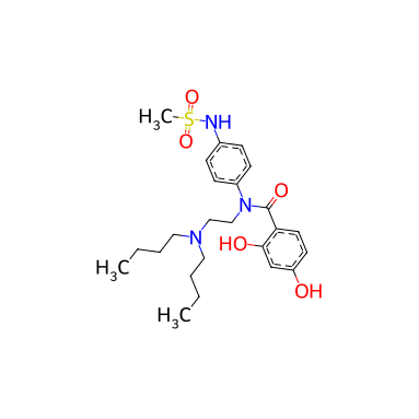 CCCCN(CCCC)CCN(C(=O)c1ccc(O)cc1O)c1ccc(NS(C)(=O)=O)cc1